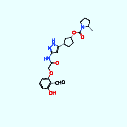 C[C@H]1CCCN1C(=O)O[C@@H]1CC[C@H](c2cc(NC(=O)COc3cccc(O)c3C=O)n[nH]2)C1